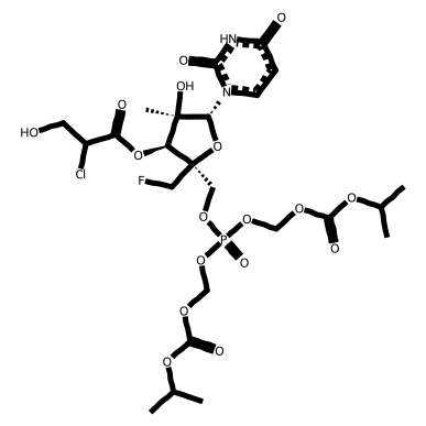 CC(C)OC(=O)OCOP(=O)(OCOC(=O)OC(C)C)OC[C@@]1(CF)O[C@@H](n2ccc(=O)[nH]c2=O)[C@](C)(O)[C@@H]1OC(=O)C(Cl)CO